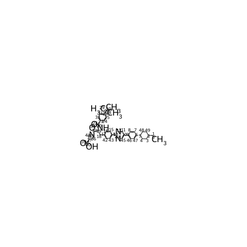 CC[C@H]1CC[C@H](c2ccc(-c3cnc(-c4ccc(C[C@H](NC(=O)c5ccc(C(C)(C)C)cc5)C(=O)N5CC(C(=O)O)C5)cc4)nc3)cc2)CC1